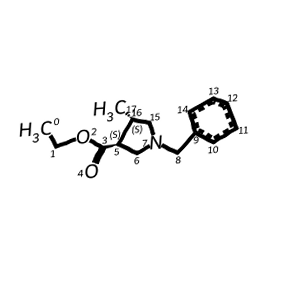 CCOC(=O)[C@@H]1CN(Cc2ccccc2)C[C@H]1C